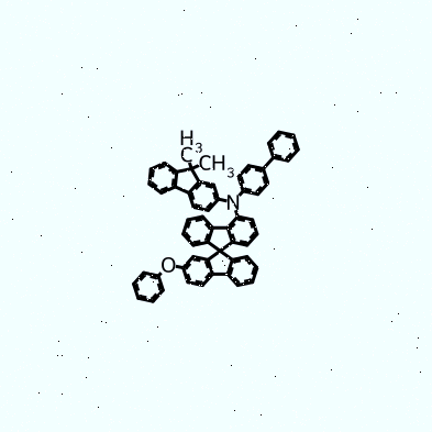 CC1(C)c2ccccc2-c2ccc(N(c3ccc(-c4ccccc4)cc3)c3cccc4c3-c3ccccc3C43c4ccccc4-c4ccc(Oc5ccccc5)cc43)cc21